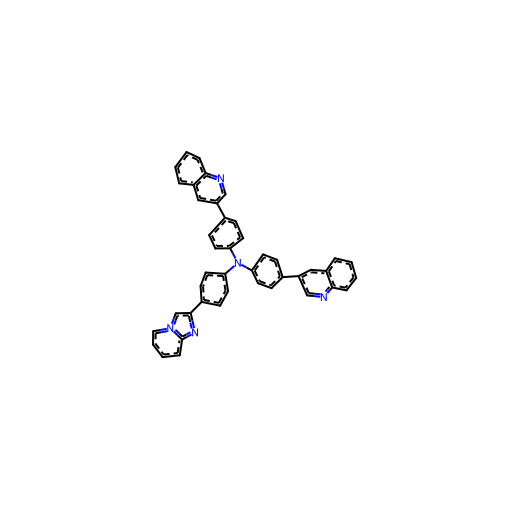 c1ccc2ncc(-c3ccc(N(c4ccc(-c5cnc6ccccc6c5)cc4)c4ccc(-c5cn6ccccc6n5)cc4)cc3)cc2c1